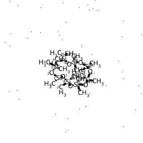 C[SiH](O[Si](C)(C)C)O[Si](C)(C)O[Si](C)(C)O[Si](C)(C)O[Si](C)(C)O[Si](C)(C)O[Si](C)(C)C